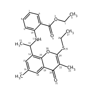 CCOC(=O)c1ccccc1NC(C)c1cc(C)cc2c(=O)c(C)c(SCC)oc12